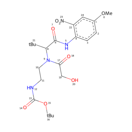 COc1ccc(NC(=O)C(N(CCNC(=O)OC(C)(C)C)C(=O)CO)C(C)(C)C)c([N+](=O)[O-])c1